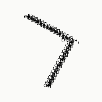 CCOC(C)=O.ClC(Cl)Cl.ClC(Cl)Cl.ClC(Cl)Cl.ClC(Cl)Cl.ClC(Cl)Cl.ClC(Cl)Cl.ClC(Cl)Cl.ClC(Cl)Cl.ClC(Cl)Cl.ClC(Cl)Cl.ClC(Cl)Cl.ClC(Cl)Cl.ClC(Cl)Cl.ClC(Cl)Cl.ClC(Cl)Cl.ClC(Cl)Cl.ClC(Cl)Cl.ClC(Cl)Cl.ClC(Cl)Cl.ClC(Cl)Cl.ClC(Cl)Cl.ClC(Cl)Cl.ClC(Cl)Cl.ClC(Cl)Cl.ClC(Cl)Cl.ClC(Cl)Cl.ClC(Cl)Cl.ClC(Cl)Cl.ClC(Cl)Cl.ClC(Cl)Cl